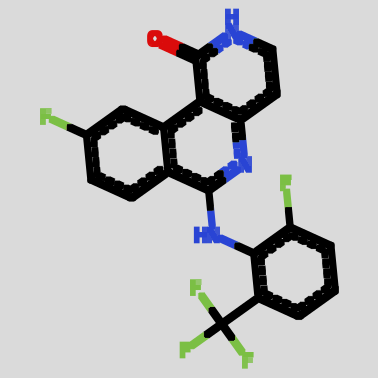 O=c1[nH]ccc2nc(Nc3c(F)cccc3C(F)(F)F)c3ccc(F)cc3c12